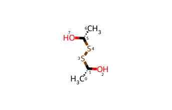 C[C@@H](O)SS[C@@H](C)O